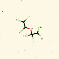 OC(F)(OC(F)C(F)F)C(F)F